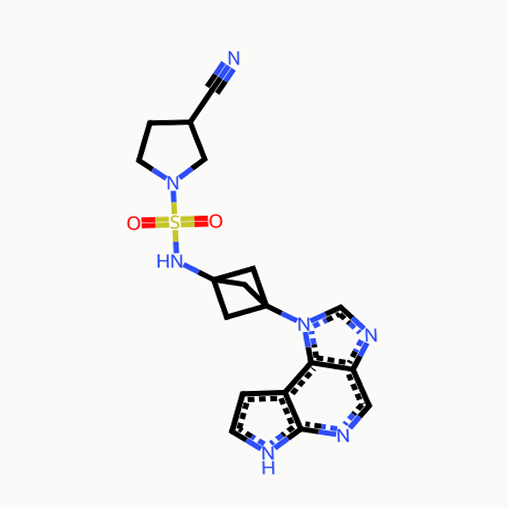 N#CC1CCN(S(=O)(=O)NC23CC(n4cnc5cnc6[nH]ccc6c54)(C2)C3)C1